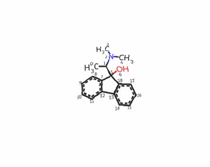 CC(N(C)C)C1(O)c2ccccc2-c2ccccc21